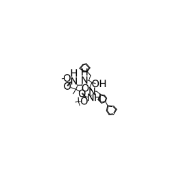 COC(=O)N[C@H](C(=O)N[C@@H](Cc1ccccc1)[C@@H](O)CN(Cc1ccc(-c2ccccc2)cc1)NC(=O)OC(C)(C)C)C(C)(C)C